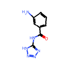 Nc1cccc(C(=O)Nc2nnn[nH]2)c1